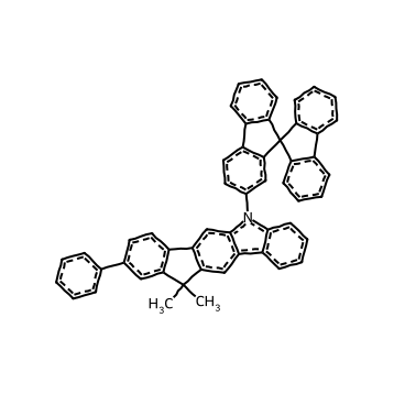 CC1(C)c2cc(-c3ccccc3)ccc2-c2cc3c(cc21)c1ccccc1n3-c1ccc2c(c1)C1(c3ccccc3-c3ccccc31)c1ccccc1-2